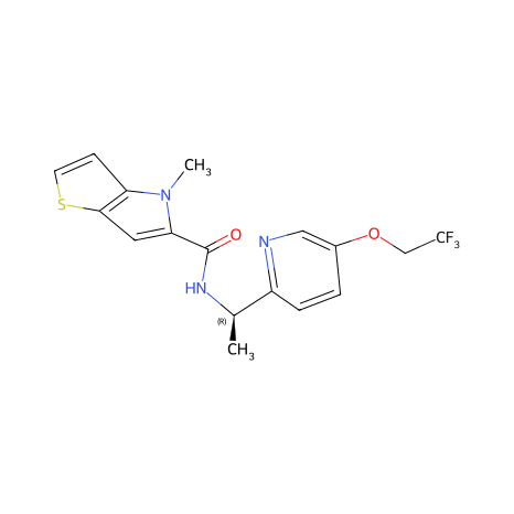 C[C@@H](NC(=O)c1cc2sccc2n1C)c1ccc(OCC(F)(F)F)cn1